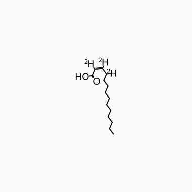 [2H]C(C(=O)O)=C([2H])C([2H])CCCCCCCCCC